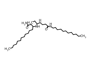 CCCCCCCCCCCCNC(=O)CCNC(CC)NC(CCCCCCCCCCCC)CC(N)=O